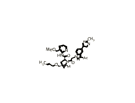 C/C=C/COC[C@@]12C[C@@H](C(=O)Nc3ncccc3COC)N(C(=O)Cn3nc(C(C)=O)c4cc(-c5cnc(C)nc5)ccc43)[C@@H]1C2